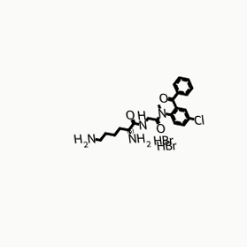 Br.Br.CN(C(=O)CNC(=O)[C@@H](N)CCCCN)c1ccc(Cl)cc1C(=O)c1ccccc1